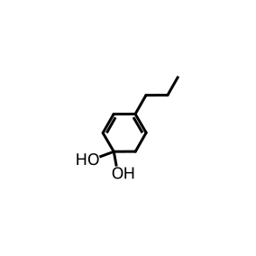 CCCC1=CCC(O)(O)C=C1